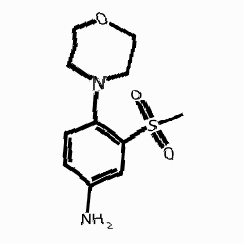 CS(=O)(=O)c1cc(N)ccc1N1CCOCC1